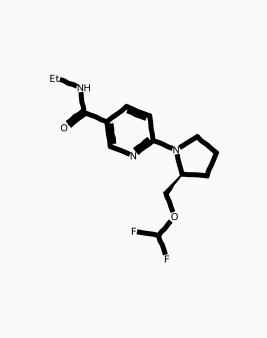 CCNC(=O)c1ccc(N2CCC[C@H]2COC(F)F)nc1